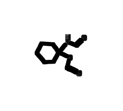 O=CNC1(OC=O)CCCCC1